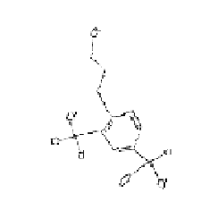 [O]CCCc1ccc(C(Cl)(Cl)Cl)cc1C(Cl)(Cl)Cl